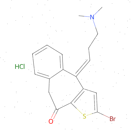 CN(C)CC/C=C1\c2ccccc2CC(=O)c2sc(Br)cc21.Cl